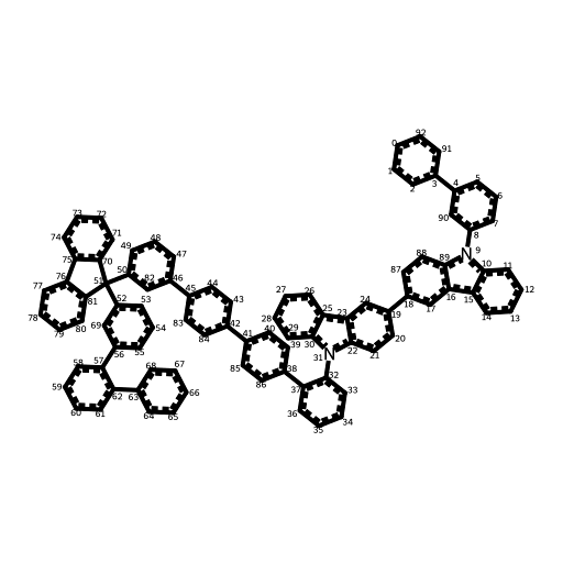 c1ccc(-c2cccc(-n3c4ccccc4c4cc(-c5ccc6c(c5)c5ccccc5n6-c5ccccc5-c5ccc(-c6ccc(-c7cccc(C8(c9cccc(-c%10ccccc%10-c%10ccccc%10)c9)c9ccccc9-c9ccccc98)c7)cc6)cc5)ccc43)c2)cc1